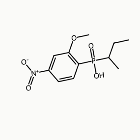 CCC(C)P(=O)(O)c1ccc([N+](=O)[O-])cc1OC